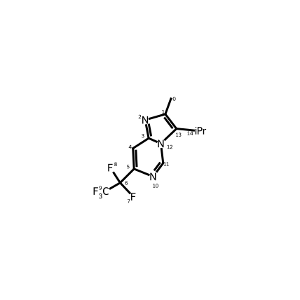 Cc1nc2cc(C(F)(F)C(F)(F)F)ncn2c1C(C)C